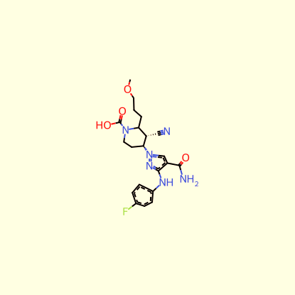 COCCCC1[C@H](C#N)[C@@H](n2cc(C(N)=O)c(Nc3ccc(F)cc3)n2)CCN1C(=O)O